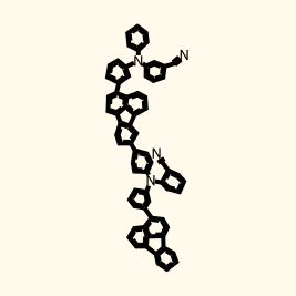 N#Cc1cccc(N(c2ccccc2)c2cccc(-c3ccc4c5c(cccc35)-c3cc(-c5ccc(N(c6cccc(-c7ccc8c9c(cccc79)-c7ccccc7-8)c6)c6ccccc6C#N)cc5)ccc3-4)c2)c1